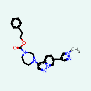 Cn1cc(-c2ccc3c(N4CCCN(C(=O)OCCc5ccccc5)CC4)cnn3c2)cn1